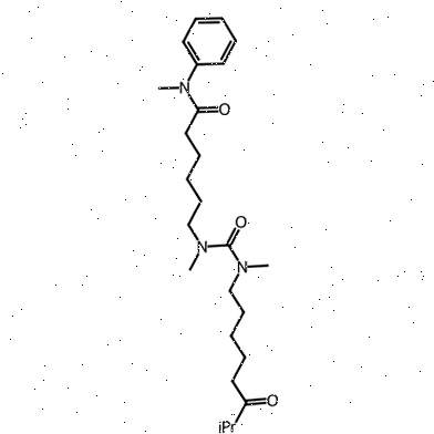 CC(C)C(=O)CCCCCN(C)C(=O)N(C)CCCCCC(=O)N(C)c1ccccc1